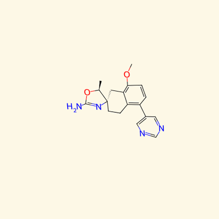 COc1ccc(-c2cncnc2)c2c1C[C@]1(CC2)N=C(N)O[C@H]1C